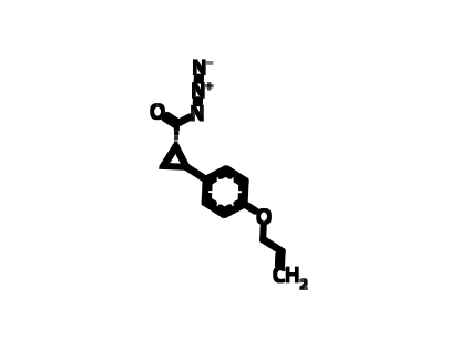 C=CCOc1ccc(C2C[C@@H]2C(=O)N=[N+]=[N-])cc1